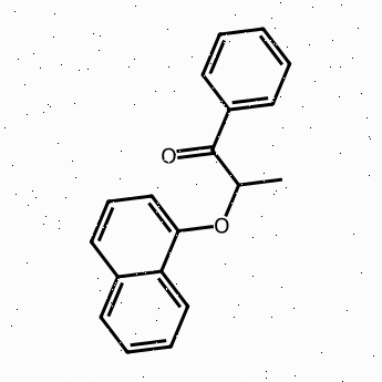 CC(Oc1cccc2ccccc12)C(=O)c1ccccc1